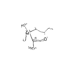 CC[CH2][Zr]([CH3])([OH])[C](=O)O